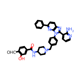 Nc1ncccc1-c1nc2ccc(-c3ccccc3)nc2n1-c1ccc(CN2CCC(NC(=O)c3ccc(C=O)c(O)c3)CC2)cc1